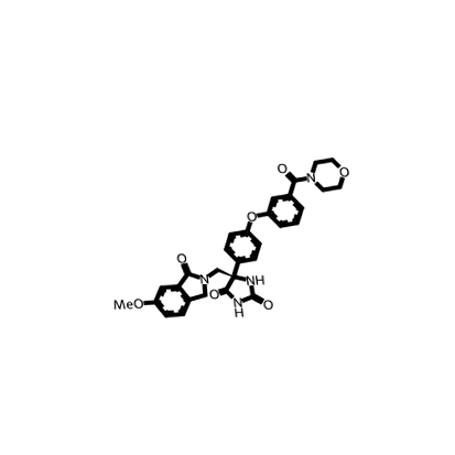 COc1ccc2c(c1)C(=O)N(C[C@@]1(c3ccc(Oc4cccc(C(=O)N5CCOCC5)c4)cc3)NC(=O)NC1=O)C2